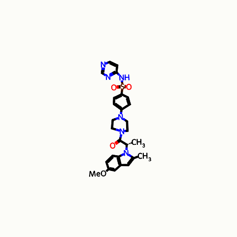 COc1ccc2c(c1)cc(C)n2[C@@H](C)C(=O)N1CCN(c2ccc(S(=O)(=O)Nc3ccncn3)cc2)CC1